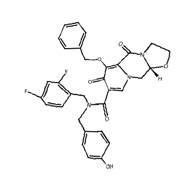 O=C(c1cn2c(c(OCc3ccccc3)c1=O)C(=O)N1CCO[C@@H]1C2)N(Cc1ccc(O)cc1)Cc1ccc(F)cc1F